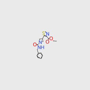 CCOC(=O)c1ncsc1C1CN(C(=O)NCc2ccccc2)C1